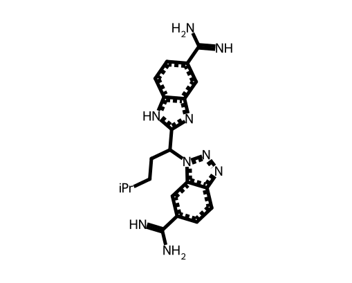 CC(C)CCC(c1nc2cc(C(=N)N)ccc2[nH]1)n1nnc2ccc(C(=N)N)cc21